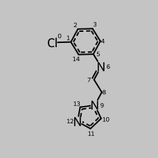 Clc1cccc(N=CCn2ccnc2)c1